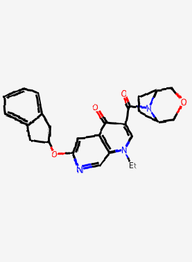 CCn1cc(C(=O)N2C3CCC2COC3)c(=O)c2cc(OC3Cc4ccccc4C3)ncc21